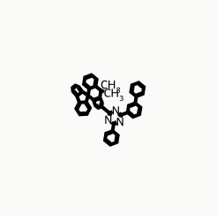 CC1(C)c2ccccc2C2(c3ccccc3-c3ccccc32)c2ccc(-c3nc(-c4ccccc4)nc(-c4cccc(-c5ccccc5)c4)n3)cc21